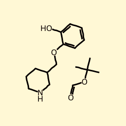 CC(C)(C)OC=O.Oc1ccccc1OCC1CCCNC1